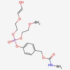 BNC(=O)OCc1ccc(OP(=O)(OCCOB)OCCO/C=C/O)cc1